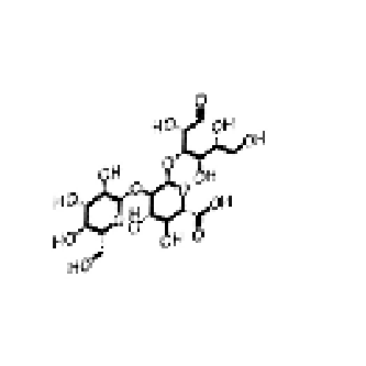 O=C[C@@H](O)[C@@H](O[C@H]1O[C@H](C(=O)O)[C@@H](O)[C@H](O)[C@H]1O[C@H]1O[C@H](CO)[C@@H](O)[C@H](O)[C@H]1O)[C@H](O)[C@H](O)CO